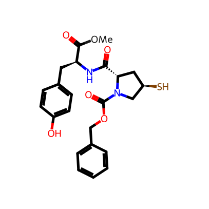 COC(=O)[C@H](Cc1ccc(O)cc1)NC(=O)[C@@H]1C[C@@H](S)CN1C(=O)OCc1ccccc1